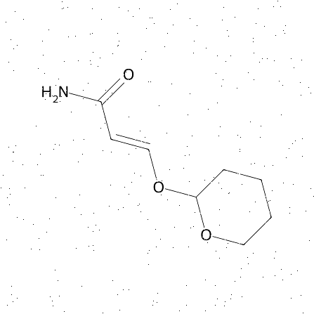 NC(=O)C=COC1CCCCO1